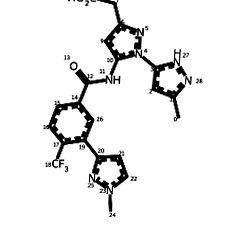 Cc1cc(-n2nc(CC(=O)O)cc2NC(=O)c2ccc(C(F)(F)F)c(-c3ccn(C)n3)c2)[nH]n1